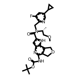 COC[C@@H](C)N(Cc1ncc(C2CC2)cc1F)C(=O)c1cc2nc(NC(=O)OC(C)(C)C)c3c(c2[nH]1)COC3